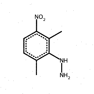 Cc1ccc([N+](=O)[O-])c(C)c1NN